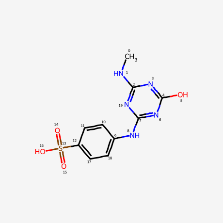 CNc1nc(O)nc(Nc2ccc(S(=O)(=O)O)cc2)n1